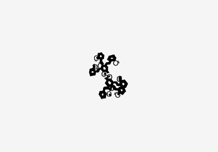 COc1ccccc1/C=C/C1=CC(CS(=O)(=O)CC2C=C(/C=C/c3ccccc3OC)C(/C=C/c3ccccc3OC)(OC)C(/C=C/c3ccccc3OC)=C2)C=C(/C=C/c2ccccc2OC)C1(/C=C/c1ccccc1OC)OC